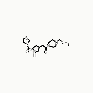 CCN1CCN(C(=O)CC2CN[C@H](C(=O)N3CCSC3)C2)CC1